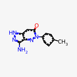 Cc1ccc(-n2nc3c(N)n[nH]c3cc2=O)cc1